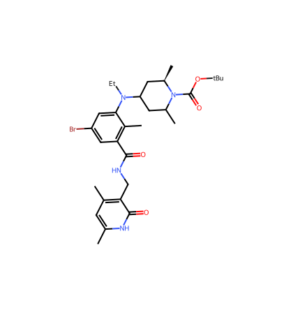 CCN(c1cc(Br)cc(C(=O)NCc2c(C)cc(C)[nH]c2=O)c1C)C1CC(C)N(C(=O)OC(C)(C)C)[C@H](C)C1